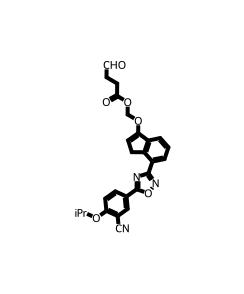 CC(C)Oc1ccc(-c2nc(-c3cccc4c3CC=C4OCOC(=O)CCC=O)no2)cc1C#N